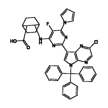 O=C(O)C1C2CCC(CC2)C1Nc1nc(-c2cn(C(c3ccccc3)(c3ccccc3)c3ccccc3)c3ncc(Cl)nc23)nc(-n2cccc2)c1F